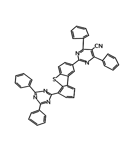 N#Cc1c(-c2ccccc2)nc(-c2ccc3sc4c(-c5nc(-c6ccccc6)nc(-c6ccccc6)n5)cccc4c3c2)nc1-c1ccccc1